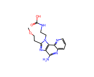 COCCc1nc2c(N)nc3cccnc3c2n1CCNC(=O)O